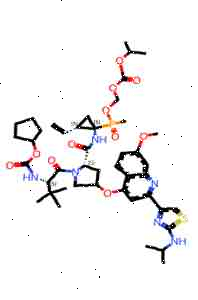 C=C[C@@H]1C[C@]1(NC(=O)[C@@H]1CC(Oc2cc(-c3csc(NC(C)C)n3)nc3cc(OC)ccc23)CN1C(=O)[C@@H](NC(=O)OC1CCCC1)C(C)(C)C)P(C)(=O)OCOC(=O)OC(C)C